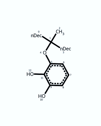 CCCCCCCCCCC(C)(CCCCCCCCCC)Oc1cccc(O)c1O